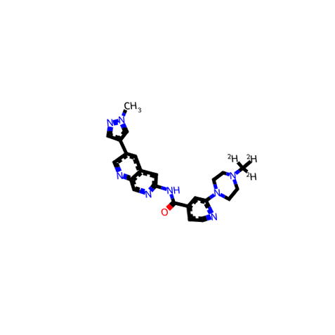 [2H]C([2H])([2H])N1CCN(c2cc(C(=O)Nc3cc4cc(-c5cnn(C)c5)cnc4cn3)ccn2)CC1